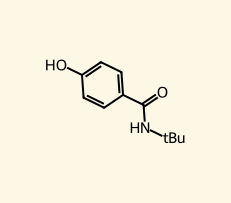 CC(C)(C)NC(=O)c1ccc(O)cc1